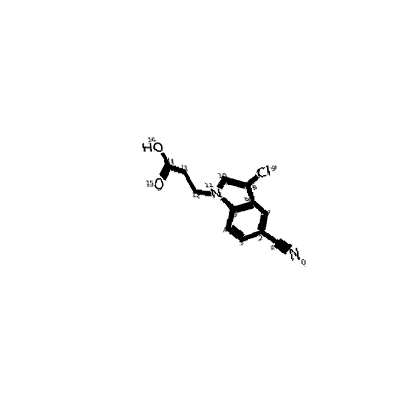 N#Cc1ccc2c(c1)c(Cl)cn2CCC(=O)O